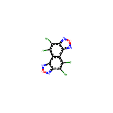 Fc1c(Br)c2nonc2c2c(F)c(Br)c3nonc3c12